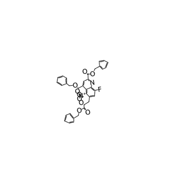 O=C(Cc1cc(F)c2nc(C(=O)OCc3ccccc3)cc(C(=O)OCc3ccccc3)c2c1[N+](=O)[O-])C(=O)OCc1ccccc1